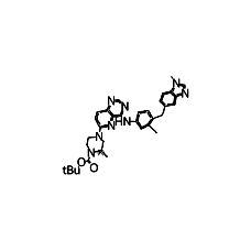 Cc1cc(Nc2ncnc3ccc(N4CCN(C(=O)OC(C)(C)C)[C@H](C)C4)nc23)ccc1Cc1ccc2c(c1)ncn2C